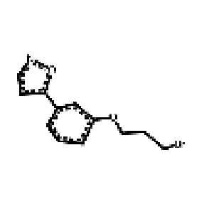 BrCCCOc1cccc(-c2ccno2)c1